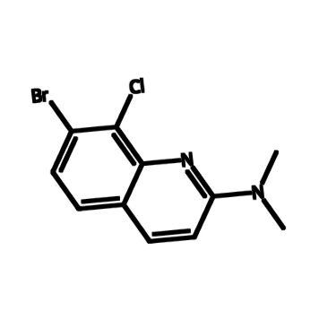 CN(C)c1ccc2ccc(Br)c(Cl)c2n1